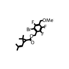 COCc1c(F)c(F)c(COC(=O)C2C(C=C(C)C)C2(C)C)c(Br)c1F